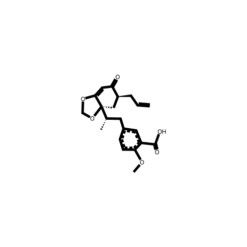 C=CC[C@H]1C[C@]2([C@@H](C)Cc3ccc(OC)c(C(=O)O)c3)OCOC2=CC1=O